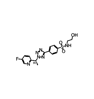 C[C@@H](c1ccc(F)cn1)n1nnc(-c2ccc(S(=O)(=O)NCCO)cc2)n1